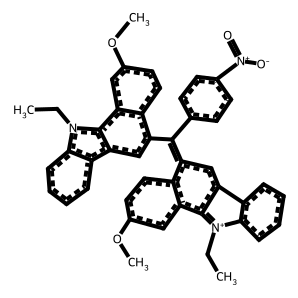 CCn1c2ccccc2c2cc(/C(c3ccc([N+](=O)[O-])cc3)=c3/cc4c(c5cc(OC)ccc35)=[N+](CC)c3ccccc3-4)c3ccc(OC)cc3c21